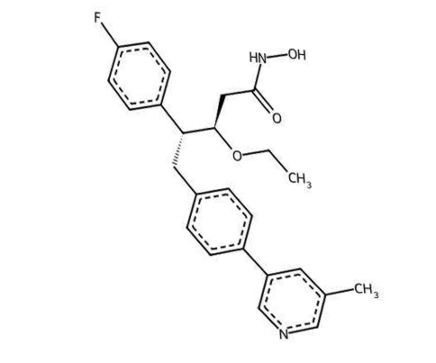 CCO[C@H](CC(=O)NO)[C@H](Cc1ccc(-c2cncc(C)c2)cc1)c1ccc(F)cc1